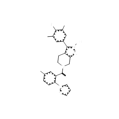 Cn1nc2c(c1-c1cc(F)c(F)c(F)c1)CCN(C(=O)c1cc(F)ccc1-n1cccn1)C2